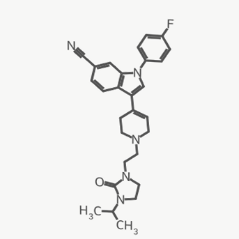 CC(C)N1CCN(CCN2CC=C(c3cn(-c4ccc(F)cc4)c4cc(C#N)ccc34)CC2)C1=O